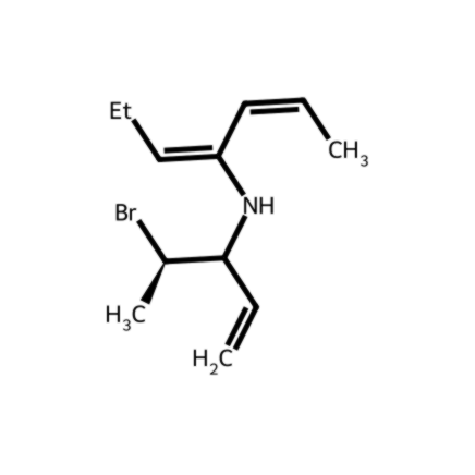 C=CC(NC(/C=C\C)=C/CC)[C@@H](C)Br